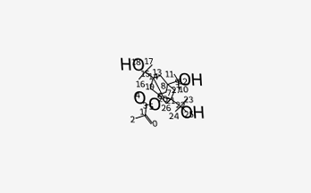 C=C(C)C(=O)OC12CC3(C(C)(C)O)CC(C(C)(C)O)(C1)CC(C(C)(C)O)(C2)C3